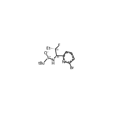 CC[C@H](F)[C@H](N[S+]([O-])C(C)(C)C)c1cccc(Br)n1